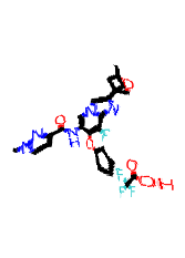 Cn1ccc(C(=O)Nc2cn3cc(C45COC(C)(C4)C5)nc3c(F)c2OC2CCCC2)n1.O=C(O)C(F)(F)F